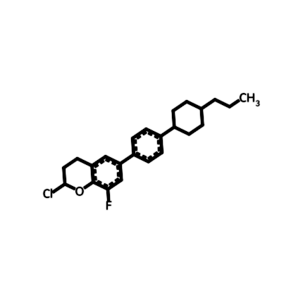 CCCC1CCC(c2ccc(-c3cc(F)c4c(c3)CCC(Cl)O4)cc2)CC1